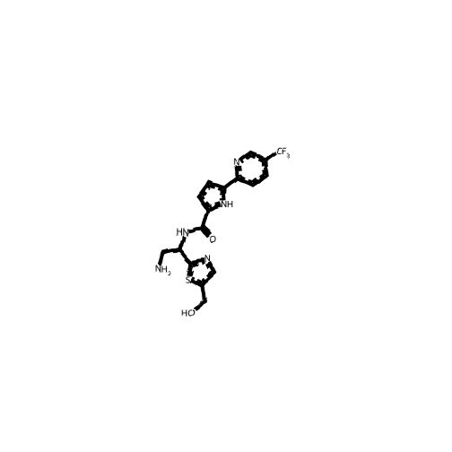 NCC(NC(=O)c1ccc(-c2ccc(C(F)(F)F)cn2)[nH]1)c1ncc(CO)s1